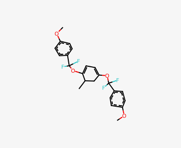 COc1ccc(C(F)(F)OC2=CC=C(OC(F)(F)c3ccc(OC)cc3)C(C)C2)cc1